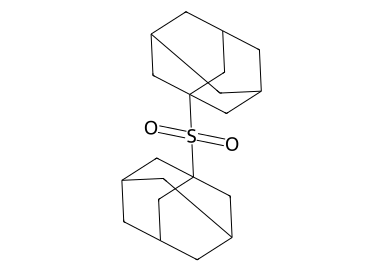 O=S(=O)(C12CC3CC(CC(C3)C1)C2)C12CC3CC(CC(C3)C1)C2